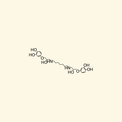 Oc1ccc(OCC(O)CNCCCCCCCNCC(O)COc2ccc(O)c(O)c2)cc1O